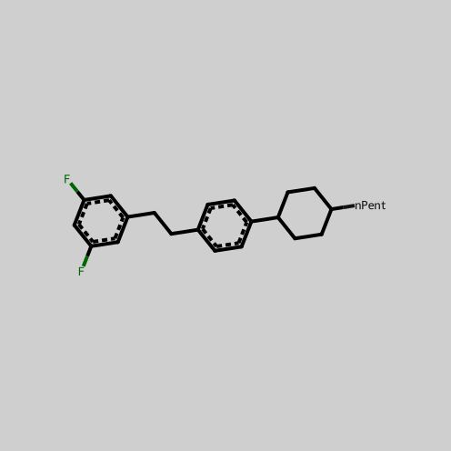 CCCCCC1CCC(c2ccc(CCc3cc(F)cc(F)c3)cc2)CC1